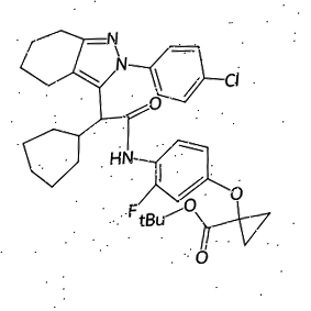 CC(C)(C)OC(=O)C1(Oc2ccc(NC(=O)C(c3c4c(nn3-c3ccc(Cl)cc3)CCCC4)C3CCCCC3)c(F)c2)CC1